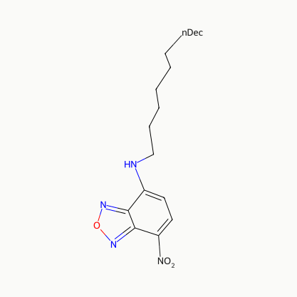 CCCCCCCCCCCCCCCCNc1ccc([N+](=O)[O-])c2nonc12